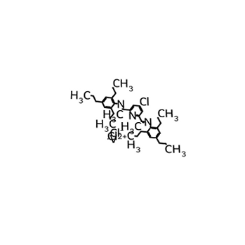 CCCc1cc(CCC)c(N=C(C)c2cc(Cl)cc(C(C)=Nc3c(CCC)cc(CCC)cc3CCC)n2)c(CCC)c1.[Cl-].[Cl-].[V+2]